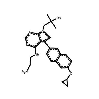 CC(C)(O)Cn1cc(-c2ccc3cc(OC4CC4)ccc3c2)c2c(NCCN)ncnc21